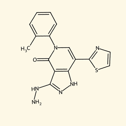 Cc1ccccc1-n1cc(-c2nccs2)c2[nH]nc(NN)c2c1=O